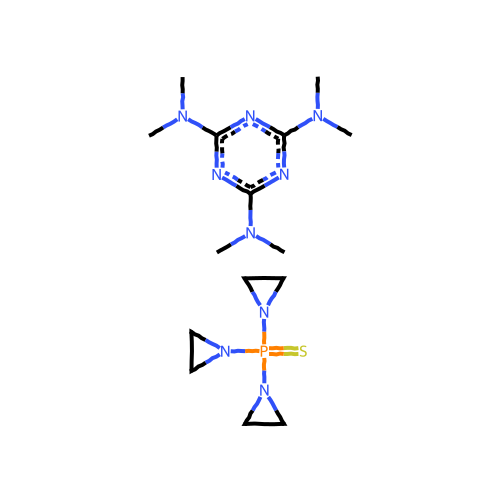 CN(C)c1nc(N(C)C)nc(N(C)C)n1.S=P(N1CC1)(N1CC1)N1CC1